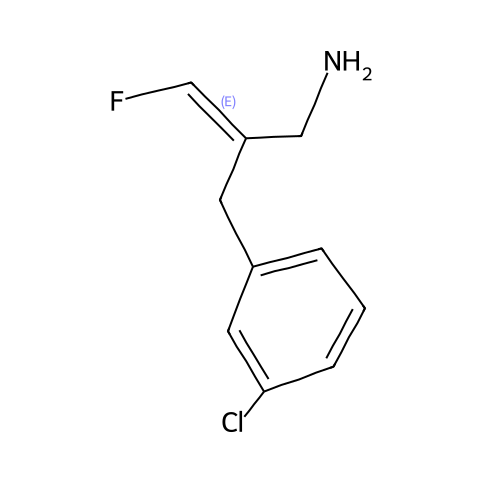 NC/C(=C/F)Cc1cccc(Cl)c1